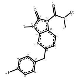 CCN(C)C(=O)n1c(=O)n(C)c2nc(Cc3ccc(F)cc3)ncc21